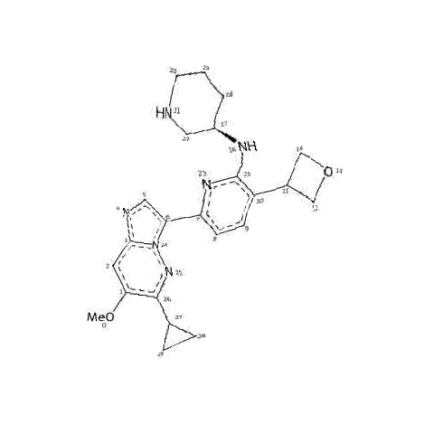 COc1cc2ncc(-c3ccc(C4COC4)c(N[C@@H]4CCCNC4)n3)n2nc1C1CC1